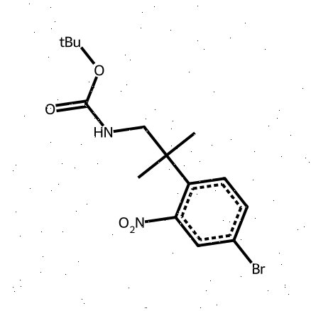 CC(C)(C)OC(=O)NCC(C)(C)c1ccc(Br)cc1[N+](=O)[O-]